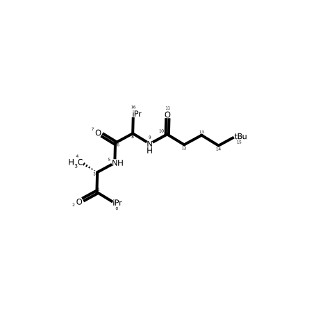 CC(C)C(=O)[C@H](C)NC(=O)C(NC(=O)CCCC(C)(C)C)C(C)C